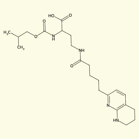 CC(C)COC(=O)NC(CCNC(=O)CCCCc1ccc2c(n1)NCCC2)C(=O)O